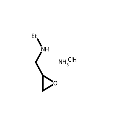 CCNCC1CO1.Cl.N